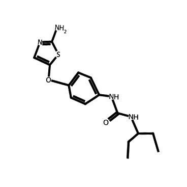 CCC(CC)NC(=O)Nc1ccc(Oc2cnc(N)s2)cc1